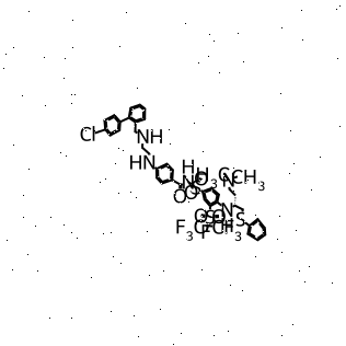 CN(C)CC[C@H](CSc1ccccc1)Nc1ccc(S(=O)(=O)NC(=O)c2ccc(NCCNCc3ccccc3-c3ccc(Cl)cc3)cc2)cc1S(=O)(=O)C(F)(C(F)(F)F)C(F)(F)F